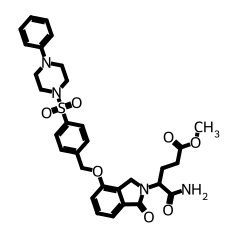 COC(=O)CCC(C(N)=O)N1Cc2c(OCc3ccc(S(=O)(=O)N4CCN(c5ccccc5)CC4)cc3)cccc2C1=O